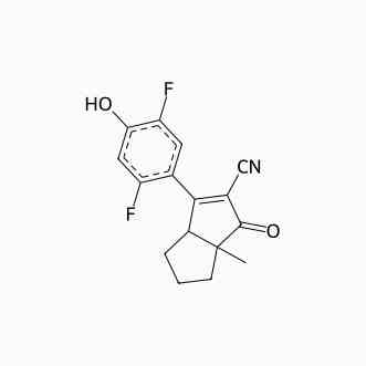 CC12CCCC1C(c1cc(F)c(O)cc1F)=C(C#N)C2=O